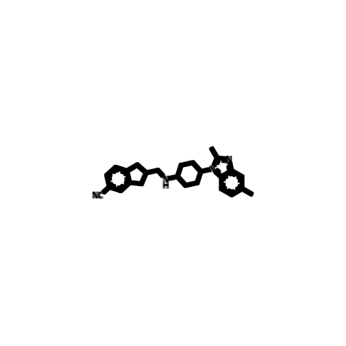 Cc1ccc2c(c1)nc(C)n2C1CCC(NCC2Cc3ccc(C#N)cc3C2)CC1